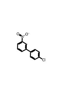 O=[N+]([O-])c1[c]c(-c2ccc(Cl)cc2)ccc1